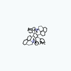 CC(=O)O/N=C1\CCc2cccc3ccc(-c4cc(-c5ccccc5)c(-c5ccc6cccc7c6c5/C(=N/OC(C)=O)CC7)cc4-c4ccccc4)c1c23